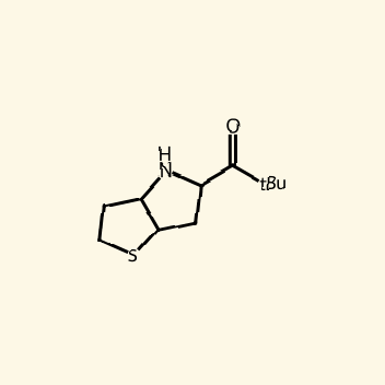 CC(C)(C)C(=O)C1CC2SCCC2N1